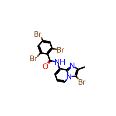 Cc1nc2c(NC(=O)c3c(Br)cc(Br)cc3Br)cccn2c1Br